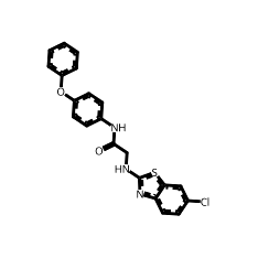 O=C(CNc1nc2ccc(Cl)cc2s1)Nc1ccc(Oc2ccccc2)cc1